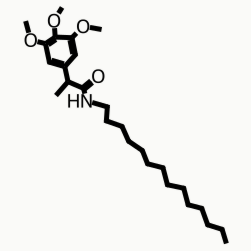 CCCCCCCCCCCCCCNC(=O)C(C)c1cc(OC)c(OC)c(OC)c1